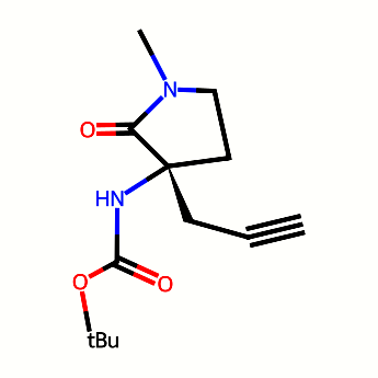 C#CC[C@]1(NC(=O)OC(C)(C)C)CCN(C)C1=O